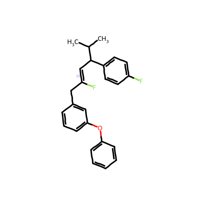 CC(C)C(/C=C(\F)Cc1cccc(Oc2ccccc2)c1)c1ccc(F)cc1